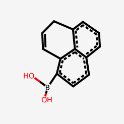 OB(O)c1ccc2cccc3c2c1C=CC3